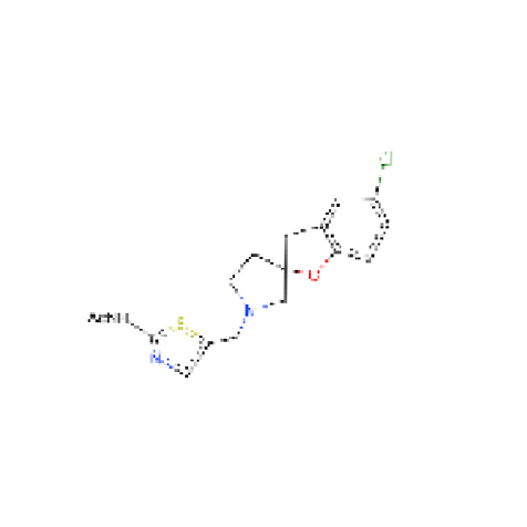 CC(=O)Nc1ncc(CN2CCC3(Cc4cc(Cl)ccc4O3)C2)s1